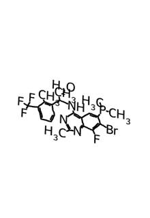 Cc1nc(NC(C)c2cccc(C(F)(F)F)c2C)c2cc(P(C)C)c(Br)c(F)c2n1.O